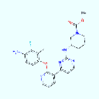 Cc1c(Oc2ncccc2-c2ccnc(N[C@H]3CCCN(C(=O)OC(C)(C)C)C3)n2)ccc(N)c1F